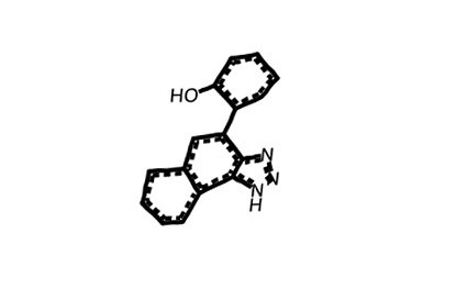 Oc1ccccc1-c1cc2ccccc2c2[nH]nnc12